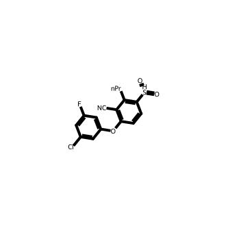 CCCc1c([SH](=O)=O)ccc(Oc2cc(F)cc(Cl)c2)c1C#N